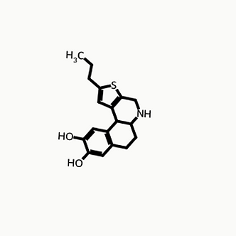 CCCc1cc2c(s1)CNC1CCc3cc(O)c(O)cc3C21